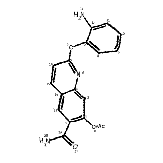 COc1cc2nc(Oc3ccccc3N)ccc2cc1C(N)=O